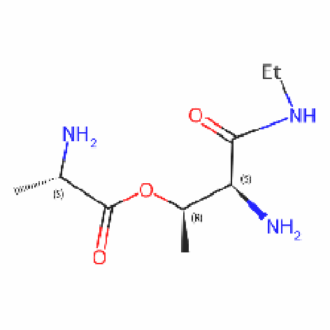 CCNC(=O)[C@@H](N)[C@@H](C)OC(=O)[C@H](C)N